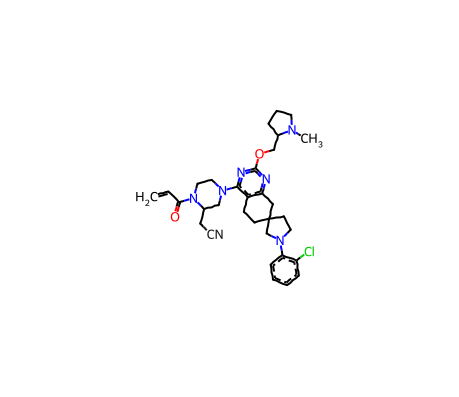 C=CC(=O)N1CCN(c2nc(OCC3CCCN3C)nc3c2CCC2(CCN(c4ccccc4Cl)C2)C3)CC1CC#N